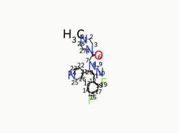 CN1CCN(C(=O)Cn2cnc(-c3ccc(F)cc3F)c2-c2ccncc2)CC1